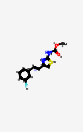 CC(C)(C)OC(=O)Nc1nc(/C=C/c2cccc(F)c2)cs1